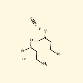 CCN(CC)CCN.CCN(CC)CCN.[C-]#[C-].[Li+].[Li+]